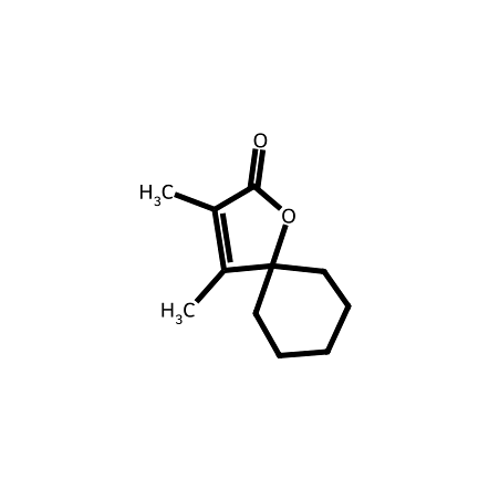 CC1=C(C)C2(CCCCC2)OC1=O